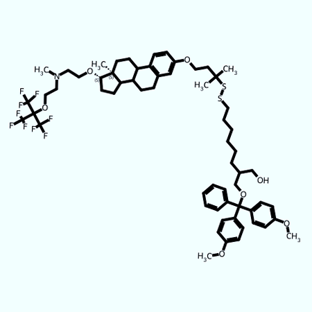 COc1ccc(C(OCC(CO)CCCCCCSSC(C)(C)CCOc2ccc3c(c2)CCC2C3CC[C@@]3(C)C2CC[C@@H]3OCCN(C)CCOC(C(F)(F)F)(C(F)(F)F)C(F)(F)F)(c2ccccc2)c2ccc(OC)cc2)cc1